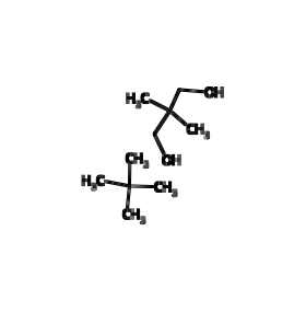 CC(C)(C)C.CC(C)(CO)CO